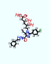 CCc1c(C(=O)NCCc2ccccc2)nc(-c2ccc(F)cc2)n1CC[C@@H](O)C[C@@H](O)CC(=O)O